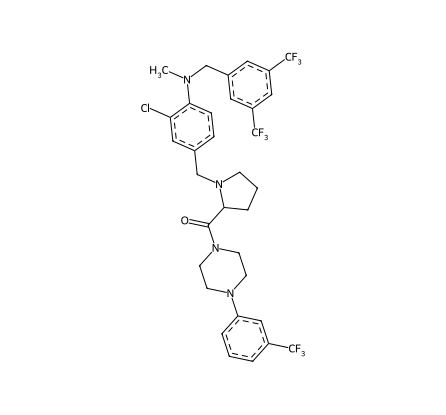 CN(Cc1cc(C(F)(F)F)cc(C(F)(F)F)c1)c1ccc(CN2CCCC2C(=O)N2CCN(c3cccc(C(F)(F)F)c3)CC2)cc1Cl